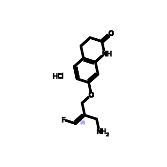 Cl.NC/C(=C/F)COc1ccc2c(c1)NC(=O)CC2